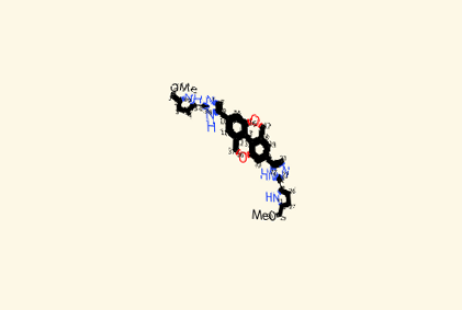 COCC1CC[C@@H](c2ncc(-c3cc4c5c(c3)OCc3cc(-c6cnc([C@@H]7CCC(COC)N7)[nH]6)cc(c3-5)OC4)[nH]2)N1